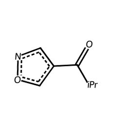 CC(C)C(=O)c1cnoc1